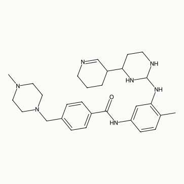 Cc1ccc(NC(=O)c2ccc(CN3CCN(C)CC3)cc2)cc1NC1NCCC(C2C=NCCC2)N1